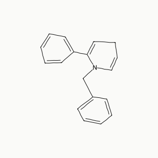 C1=CN(Cc2ccccc2)C(c2ccccc2)=CC1